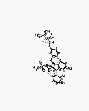 CN(C)S(=O)(=O)NCc1cccc(Cn2c(C(=O)NS(C)(=O)=O)c(-c3ccc[nH]c3=O)c3cc(Cl)ccc32)c1